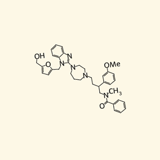 COc1cccc(C(CCN2CCCN(c3nc4ccccc4n3Cc3ccc(CO)o3)CC2)CN(C)C(=O)c2ccccc2)c1